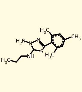 CCCNC1SC(c2c(C)cc(C)cc2C)=NN1N